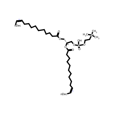 CCCCCCCCCC/C=C\CCCCCCCCCC(=O)OC[C@H](COP(=O)(O)OCC[N+](C)(C)C)OC(=O)CCCCCCCCC/C=C\CCCCCCCCCC